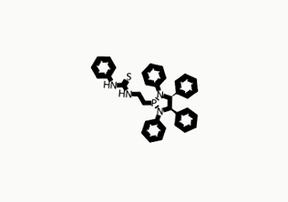 S=C(NCCP1N(c2ccccc2)[C@H](c2ccccc2)[C@@H](c2ccccc2)N1c1ccccc1)Nc1ccccc1